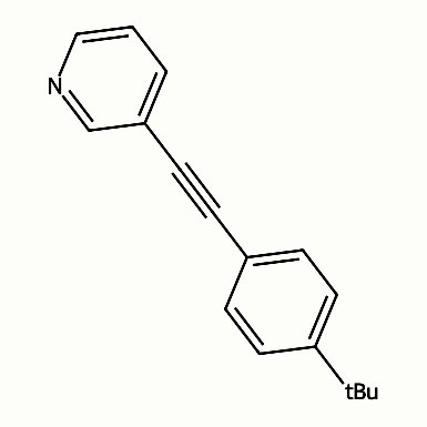 CC(C)(C)c1ccc(C#Cc2cccnc2)cc1